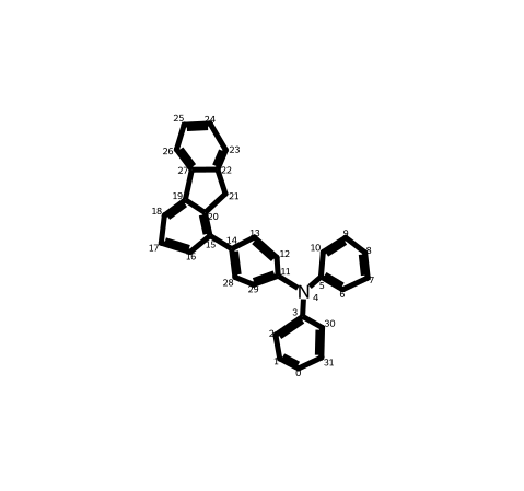 c1ccc(N(c2ccccc2)c2ccc(-c3cccc4c3Cc3ccccc3-4)cc2)cc1